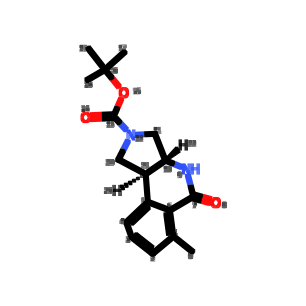 Cc1cccc2c1C(=O)N[C@H]1CN(C(=O)OC(C)(C)C)C[C@H]21